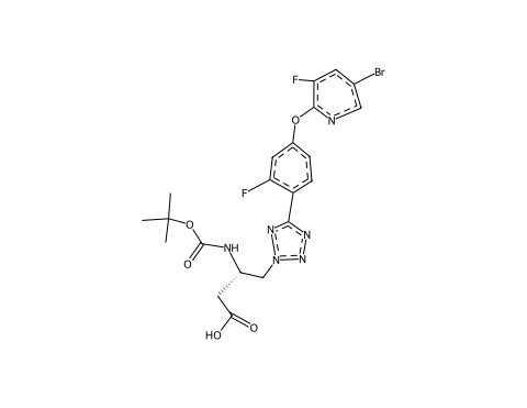 CC(C)(C)OC(=O)N[C@@H](CC(=O)O)Cn1nnc(-c2ccc(Oc3ncc(Br)cc3F)cc2F)n1